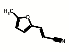 Cc1ccc(/C=C/C#N)o1